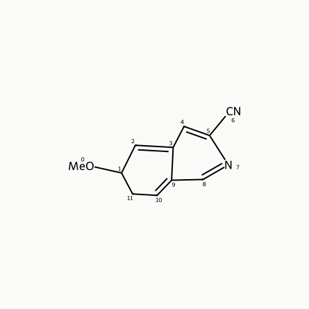 COC1C=c2cc(C#N)ncc2=CC1